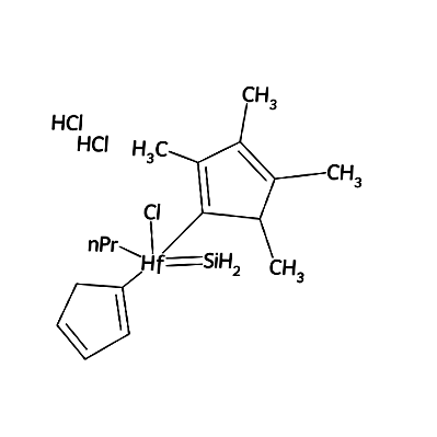 CC[CH2][Hf](=[SiH2])([Cl])([C]1=CC=CC1)[C]1=C(C)C(C)=C(C)C1C.Cl.Cl